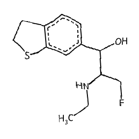 CCNC(CF)C(O)c1ccc2c(c1)SCC2